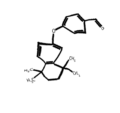 CC1(C)CCC(C)(C)c2cc(Oc3ccc(C=O)cc3)ccc21